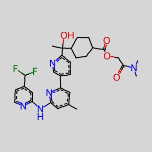 Cc1cc(Nc2cc(C(F)F)ccn2)nc(-c2ccc(C(C)(O)C3CCC(C(=O)OCC(=O)N(C)C)CC3)nc2)c1